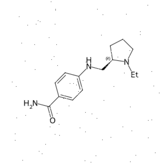 CCN1CCC[C@@H]1CNc1ccc(C(N)=O)cc1